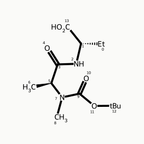 CC[C@H](NC(=O)[C@H](C)N(C)C(=O)OC(C)(C)C)C(=O)O